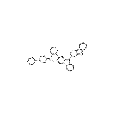 c1ccc(-c2ccc([C@@H]3Cc4cc5c6ccccc6n(-c6ccc7c(c6)oc6ccccc67)c5cc4-c4ccccc43)cc2)cc1